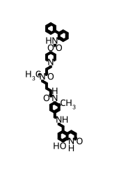 Cc1cc(CNCCc2ccc(O)c3[nH]c(=O)ccc23)ccc1NC(=O)CCCCN(C)C(=O)CCN1CCC(OC(=O)Nc2ccccc2-c2ccccc2)CC1